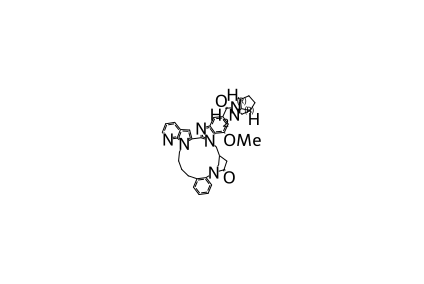 COc1cc(C(=O)N2C[C@H]3CC[C@@H]2C3N)cc2nc3n(c12)CC1CC(=O)N(C1)c1ccccc1CCCCn1c-3cc2cccnc21